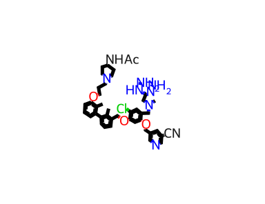 CC(=O)NC1CCN(CCCOc2cccc(-c3cccc(COc4cc(OCc5cncc(C#N)c5)c(CN(C)C/C(=N/N)NN)cc4Cl)c3C)c2C)CC1